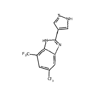 FC(F)(F)c1cc(C(F)(F)F)c2[nH]c(-c3cn[nH]c3)nc2c1